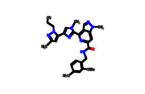 COc1ccc(CNC(=O)c2cc3c(cnn3C)c(-c3nc(-c4cc(C)nn4CCC#N)cn3C)n2)c(OC)c1